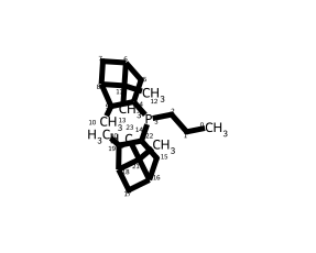 CCCP(C1CC2CC(C1C)C2(C)C)C1CC2CC(C1C)C2(C)C